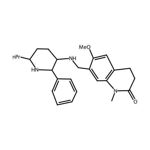 CCCC1CCC(NCc2cc3c(cc2OC)CCC(=O)N3C)C(c2ccccc2)N1